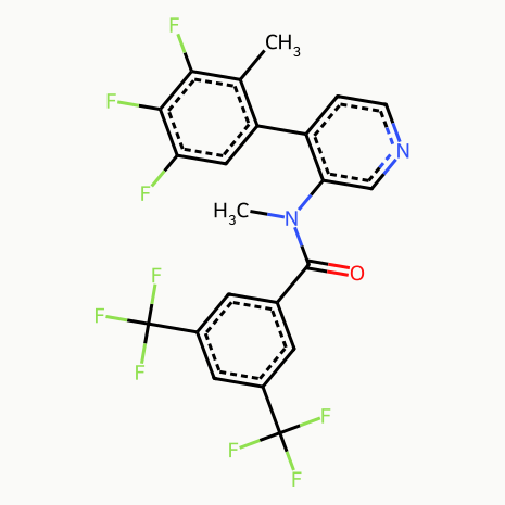 Cc1c(-c2ccncc2N(C)C(=O)c2cc(C(F)(F)F)cc(C(F)(F)F)c2)cc(F)c(F)c1F